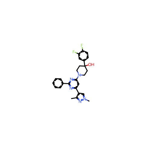 Cc1nn(C)cc1-c1cc(N2CCC(O)(c3ccc(F)c(F)c3)CC2)nc(-c2ccccc2)n1